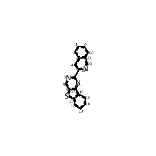 c1ccc2cc(-c3ncc4sc5ccccc5c4n3)ncc2c1